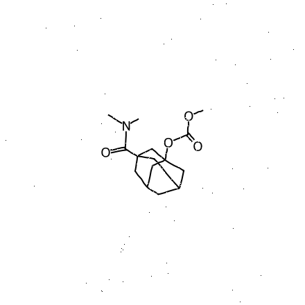 COC(=O)OC12CC3CC(C1)CC(C(=O)N(C)C)(C3)C2